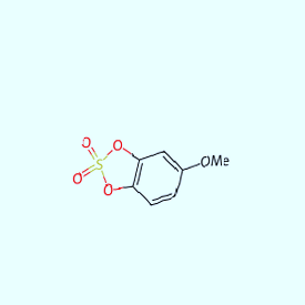 COc1ccc2c(c1)OS(=O)(=O)O2